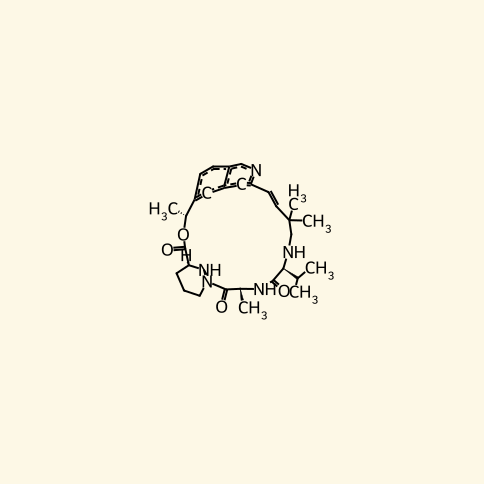 CC(C)[C@@H]1NCC(C)(C)/C=C/c2cc3cc(ccc3cn2)[C@@H](C)OC(=O)[C@@H]2CCCN(N2)C(=O)[C@H](C)NC1=O